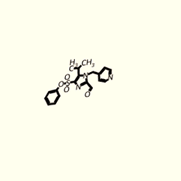 CC(C)c1c(S(=O)(=O)Oc2ccccc2)nc(C=O)n1Cc1ccncc1